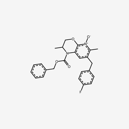 Cc1c(Cc2ccc(F)cc2)cc2c([n+]1[O-])OCC(C)N2C(=O)OCc1ccccc1